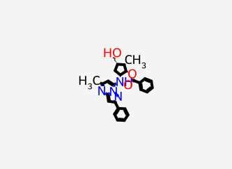 Cc1cc(N[C@@H]2C[C@H](CO)[C@@H](C)[C@H]2OC(=O)c2ccccc2)n2nc(-c3ccccc3)cc2n1